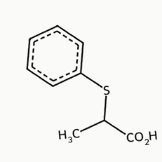 CC(Sc1ccccc1)C(=O)O